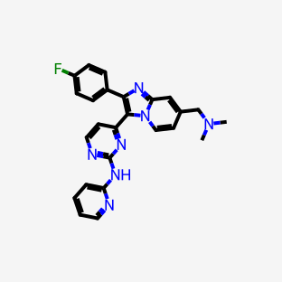 CN(C)Cc1ccn2c(-c3ccnc(Nc4ccccn4)n3)c(-c3ccc(F)cc3)nc2c1